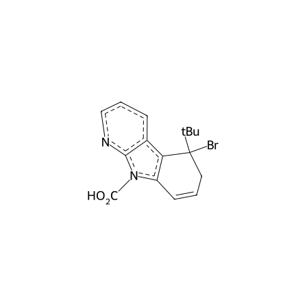 CC(C)(C)C1(Br)CC=Cc2c1c1cccnc1n2C(=O)O